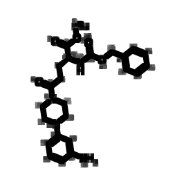 CCCCOC(=O)[C@H](CCC(=O)N1CCN(c2cccc(N)c2)CC1)NC(=O)OCc1ccccc1